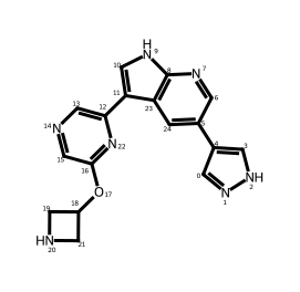 c1n[nH]cc1-c1cnc2[nH]cc(-c3cncc(OC4CNC4)n3)c2c1